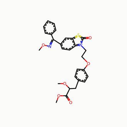 CON=C(c1ccccc1)c1ccc2c(c1)sc(=O)n2CCOc1ccc(CC(OC)C(=O)OC)cc1